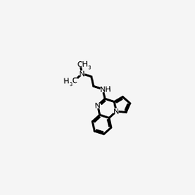 CN(C)CCNc1nc2ccccc2n2cccc12